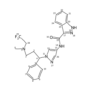 CN(CCC(c1ccccc1)n1cc(NC(=O)c2n[nH]c3ccccc23)cn1)CC(F)(F)F